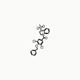 CS(=O)(=O)N1CCN(C(=O)c2cc(Cl)c(OCc3ccccc3)c(Cl)c2)c2ccccc21